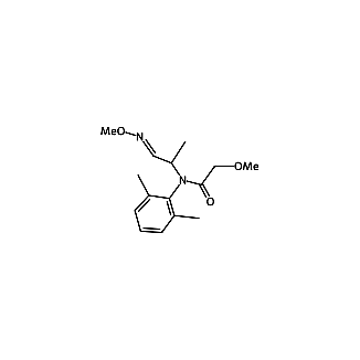 COCC(=O)N(c1c(C)cccc1C)C(C)C=NOC